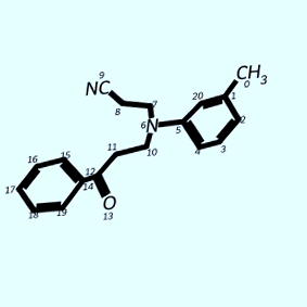 Cc1cccc(N(CCC#N)CCC(=O)c2ccccc2)c1